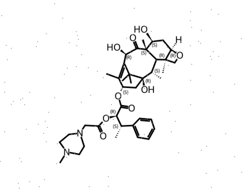 CC1=C2[C@@H](O)C(=O)[C@@]3(C)C([C@H](C)[C@](O)(C[C@@H]1OC(=O)[C@H](OC(=O)CN1CCN(C)CC1)[C@@H](C)c1ccccc1)C2(C)C)[C@]1(C)CO[C@@H]1C[C@@H]3O